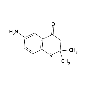 CC1(C)CC(=O)c2cc(N)ccc2S1